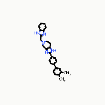 Cc1ccc(-c2ccc(-c3nc4c([nH]3)C=CN(Cc3nc5ccccc5[nH]3)C4)cc2)cc1C